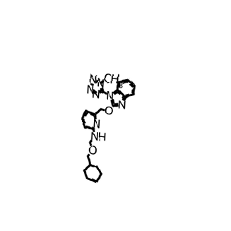 Cn1nnnc1-n1c(OCc2cccc(NCOCC3CCCCC3)n2)nc2ccccc21